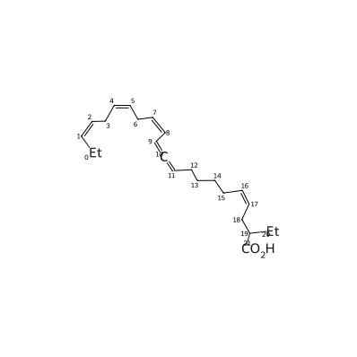 CC/C=C\C/C=C\C/C=C\C=C=CCCCC/C=C\CC(CC)C(=O)O